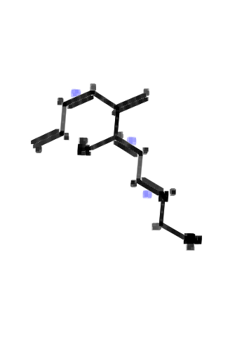 C=C/C=C\C(=C)/C(=C/C=N/CC(C)CC)CC